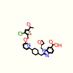 CC(=O)c1cc(Cl)c(COc2cccc(C3CCC(Cc4nc5ccc(C(=O)O)cc5n4C[C@@H]4CCO4)CC3)n2)s1